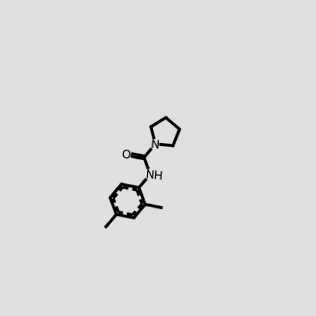 Cc1ccc(NC(=O)N2CCCC2)c(C)c1